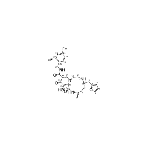 CC1CCN(Cc2ccco2)NCCn2cc(C(=O)NCc3ccc(F)cc3F)c(=O)c(O)c2C(=O)N1